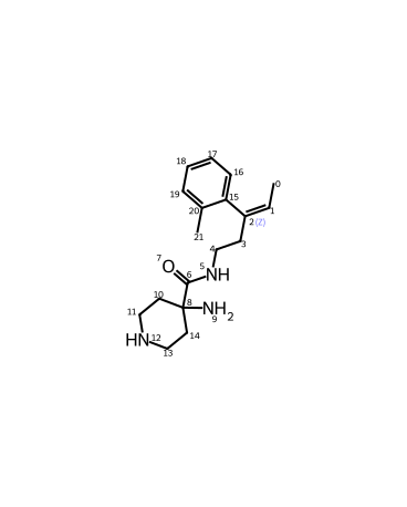 C/C=C(/CCNC(=O)C1(N)CCNCC1)c1ccccc1C